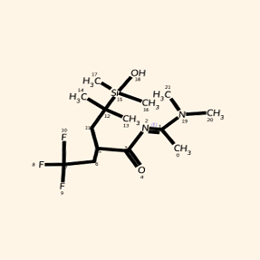 C/C(=N\C(=O)C(CC(F)(F)F)CC(C)(C)[Si](C)(C)O)N(C)C